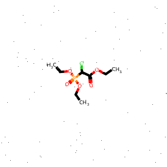 CCOC(=O)C(Cl)P(=O)(OCC)OCC